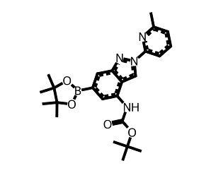 Cc1cccc(-n2cc3c(NC(=O)OC(C)(C)C)cc(B4OC(C)(C)C(C)(C)O4)cc3n2)n1